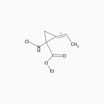 C/C=C1/CC1(NCl)C(=O)OCC